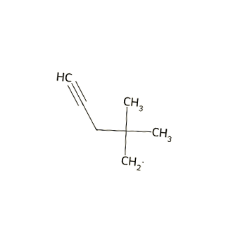 C#CCC([CH2])(C)C